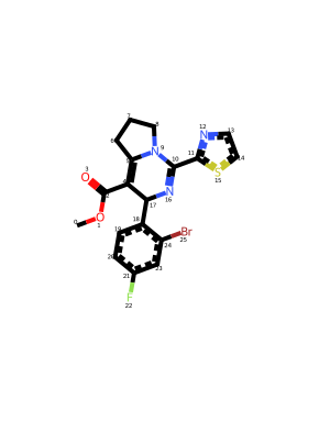 COC(=O)C1=C2CCCN2C(c2nccs2)=NC1c1ccc(F)cc1Br